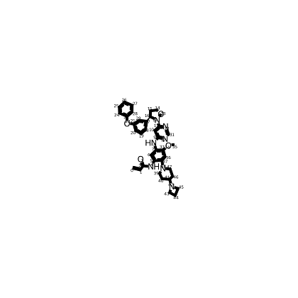 C=CC(=O)Nc1cc(Nc2cc(N3OCC[C@@H]3c3cccc(Oc4ccccc4)c3)ncn2)c(OC)cc1N1CCC(N2CCC2)CC1